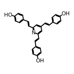 Oc1ccc(C=Cc2cc(C=Cc3ccc(O)cc3)nc(C=Cc3ccc(O)cc3)c2)cc1